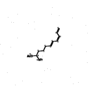 C=C/C=C\C=CCCCC(CCC)OC(C)=O